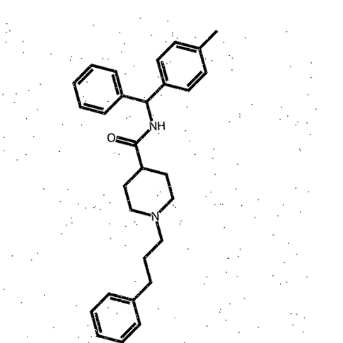 Cc1ccc(C(NC(=O)C2CCN(CCCc3ccccc3)CC2)c2ccccc2)cc1